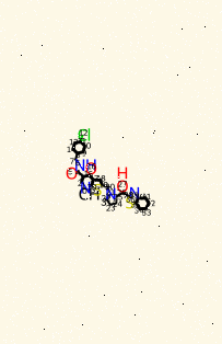 Cn1cc(C(=O)NCc2ccc(Cl)cc2)c(=O)c2cc(CN3CCC[C@@H]3[C@@H](O)c3nc4ccccc4s3)sc21